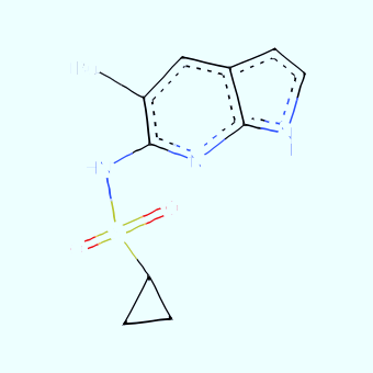 CC(C)(C)c1cc2cc[nH]c2nc1NS(=O)(=O)C1CC1